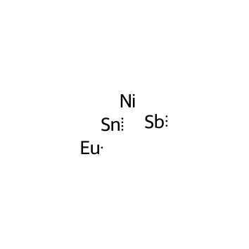 [Eu].[Ni].[Sb].[Sn]